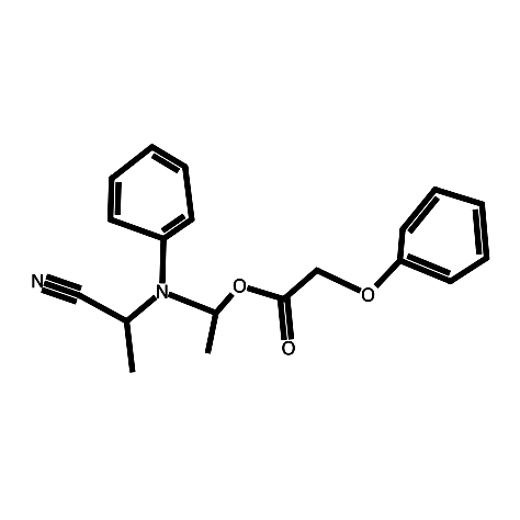 CC(C#N)N(c1ccccc1)C(C)OC(=O)COc1ccccc1